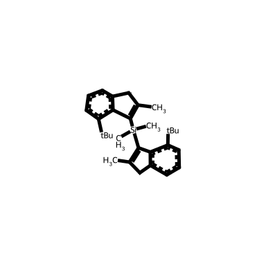 CC1=C([Si](C)(C)C2=C(C)[CH]c3cccc(C(C)(C)C)c32)c2c(cccc2C(C)(C)C)[CH]1